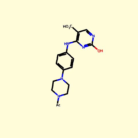 CC(=O)N1CCN(c2ccc(Nc3nc(O)ncc3C(=O)O)cc2)CC1